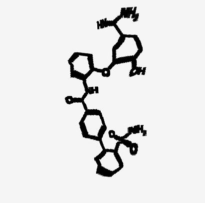 N=C(N)c1ccc(O)c(Oc2ccccc2NC(=O)c2ccc(-c3ccccc3S(N)(=O)=O)cc2)c1